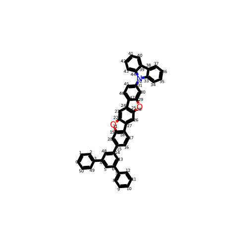 c1ccc(-c2cc(-c3ccccc3)cc(-c3ccc4c(c3)oc3cc5c(cc34)oc3cc(-n4c6ccccc6c6ccccc64)ccc35)c2)cc1